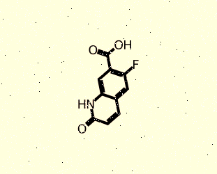 O=C(O)c1cc2[nH]c(=O)ccc2cc1F